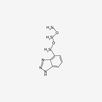 [SiH3]O[SiH2]O[SiH2]c1cccc2[nH]nnc12